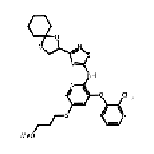 COCCCSc1cnc(Nc2nc(C3COC4(CCCCC4)O3)ns2)c(Oc2cccnc2C)c1